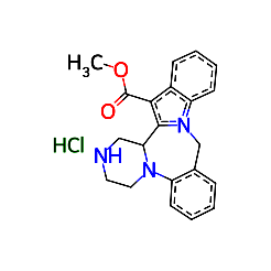 COC(=O)c1c2n(c3ccccc13)Cc1ccccc1N1CCNCC21.Cl